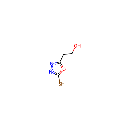 OCCc1nnc(S)o1